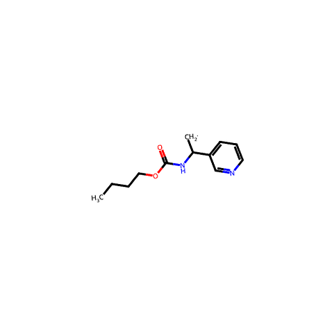 [CH2]C(NC(=O)OCCCC)c1cccnc1